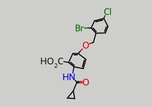 O=C(O)c1cc(OCc2ccc(Cl)cc2Br)ccc1NC(=O)C1CC1